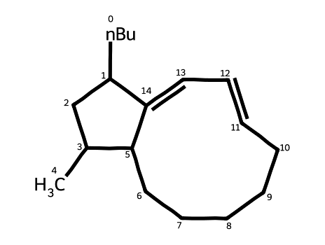 CCCCC1CC(C)C2CCCCC/C=C/C=C/12